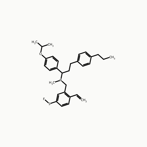 C=Cc1ccc(SF)cc1CN(C)C(CCc1ccc(CCC)cc1)c1ccc(OC(C)C)cc1